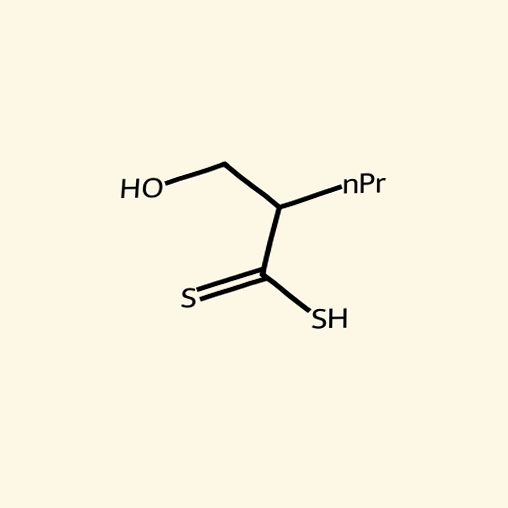 CCCC(CO)C(=S)S